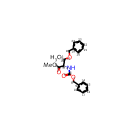 COC(=O)[C@@H](NC(=O)OCc1ccccc1)[C@H](C)OCc1ccccc1